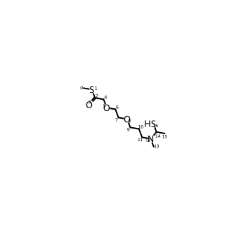 CSC(=O)COCCOCCCN(C)C(C)S